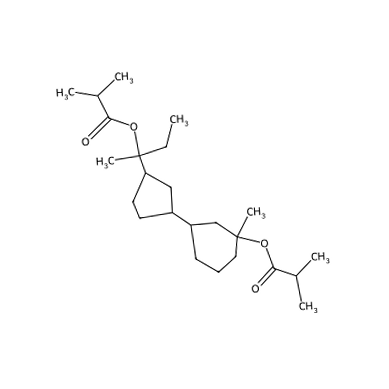 CCC(C)(OC(=O)C(C)C)C1CCC(C2CCCC(C)(OC(=O)C(C)C)C2)C1